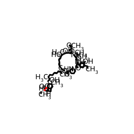 CCc1ccc(C2NC(=O)[C@H](C(C)C)NC(=O)[C@H](CCC(C)=O)[C@H](O)[C@@H](C)[C@@H](O)/C=C/C=C/C[C@@H](/C(C)=C/C=C/CC[C@H](C)[C@@H](O)C[C@@H]3O[C@]45NC(=O)[C@@H](CC)C[C@@H]4CC5=C[C@H]3C)OC(=O)C3CCCN(N3)C2=O)cc1O